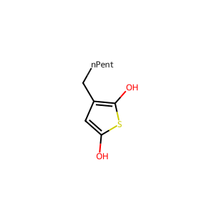 CCCCCCc1cc(O)sc1O